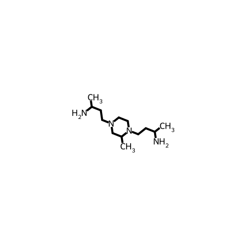 CC(N)CCN1CCN(CCC(C)N)C(C)C1